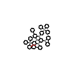 c1ccc(-c2ccc3c(c2)N(c2ccc([Si](c4ccccc4)(c4ccccc4)c4ccccc4)cc2)c2cc(-n4c5ccccc5c5ccccc54)cc4c2B3c2cc([Si](c3ccccc3)(c3ccccc3)c3ccccc3)ccc2N4c2ccccc2-c2ccccc2)cc1